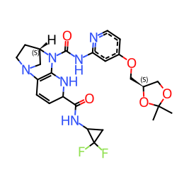 CC1(C)OC[C@H](COc2ccnc(NC(=O)N3C4=C(C=CC(C(=O)NC5CC5(F)F)N4)N4CC[C@H]3C4)c2)O1